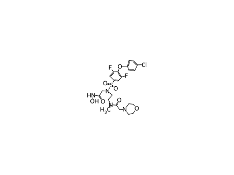 CN(CCN(CC(=O)NO)S(=O)(=O)c1cc(F)c(Oc2ccc(Cl)cc2)c(F)c1)C(=O)CN1CCOCC1